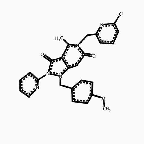 COc1ccc(Cn2c3cc(=O)n(Cc4cccc(Cl)n4)c(C)c3c(=O)n2-c2ccccn2)cc1